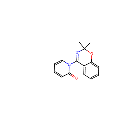 CC1(C)N=C(n2ccccc2=O)c2ccccc2O1